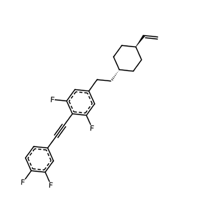 C=C[C@H]1CC[C@H](CCc2cc(F)c(C#Cc3ccc(F)c(F)c3)c(F)c2)CC1